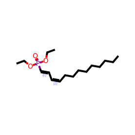 CCCCCCCCC/C=C\C=C\P(=O)(OCC)OCC